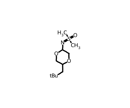 CC(C)(C)CC1COC(N=S(C)(C)=O)CO1